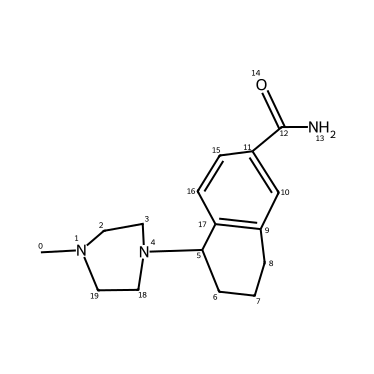 CN1CCN(C2CCCc3cc(C(N)=O)ccc32)CC1